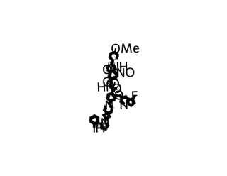 CO[C@H]1CC[C@H]([C@@H]2COc3cc(S(=O)(=O)NC(=O)c4ccc(N5CCC6(CC5)CC(N5CCC[C@H]5c5ccccc5C(C)C)C6)cc4Oc4cnc5c(c4)C(F)=CC5)cc(N=O)c3N2)CC1